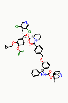 O=C(N[C@@H](c1ccccc1)c1cccc(OCc2ccc(C(=O)N3CCCC[C@H]3C(=O)O[C@@H](Cc3c(Cl)cncc3Cl)c3ccc(OC(F)F)c(OCC4CC4)c3)cc2)c1)O[C@H]1CN2CCC1CC2